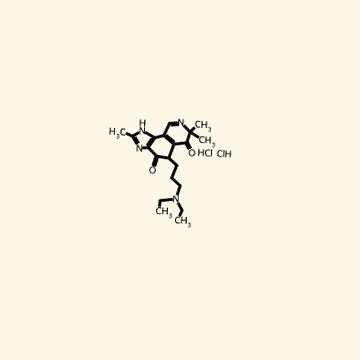 CCN(CC)CCCC1C(=O)c2nc(C)[nH]c2C2=C1C(=O)C(C)(C)N=C2.Cl.Cl